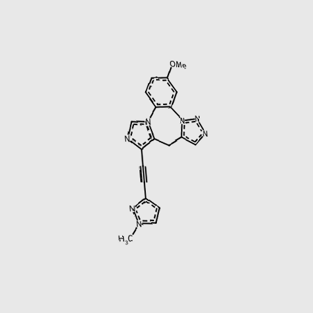 COc1ccc2c(c1)-n1nncc1Cc1c(C#Cc3ccn(C)n3)ncn1-2